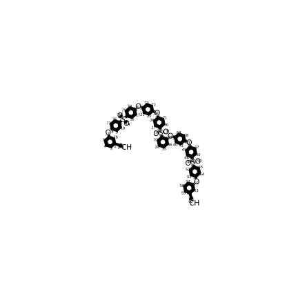 C#Cc1cccc(Oc2ccc(S(=O)(=O)c3ccc(Oc4ccc(Oc5ccc(S(=O)(=O)c6ccccc6Oc6ccc(Oc7ccc(S(=O)(=O)c8ccc(Oc9cccc(C#C)c9)cc8)cc7)cc6)cc5)cc4)cc3)cc2)c1